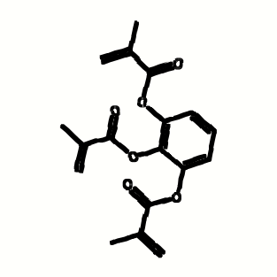 C=C(C)C(=O)Oc1cccc(OC(=O)C(=C)C)c1OC(=O)C(=C)C